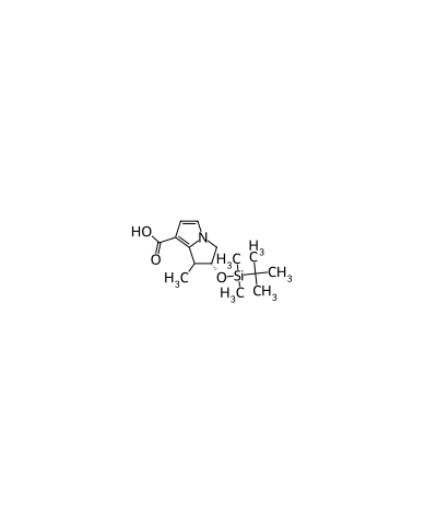 CC1c2c(C(=O)O)ccn2C[C@@H]1O[Si](C)(C)C(C)(C)C